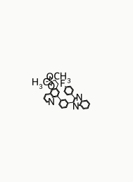 CC(Cc1cc(-c2cccc(-c3nc4ccccc4nc3-c3ccc(F)cc3)c2)c2ncccc2c1)S(C)(=O)=O